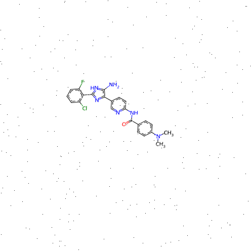 CN(C)c1ccc(C(=O)Nc2ccc(-c3nc(-c4c(F)cccc4Cl)[nH]c3N)cn2)cc1